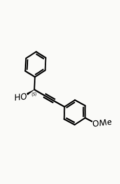 COc1ccc(C#C[C@@H](O)c2ccccc2)cc1